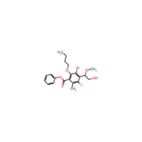 CCCCOc1c(Br)c(C(CO)OC)c(F)c(C)c1C(=O)Oc1ccccc1